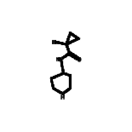 CCC1(C(=O)NC2CCNCC2)CC1